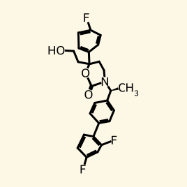 C[C@@H](c1ccc(-c2ccc(F)cc2F)cc1)N1CCC(CCO)(c2ccc(F)cc2)OC1=O